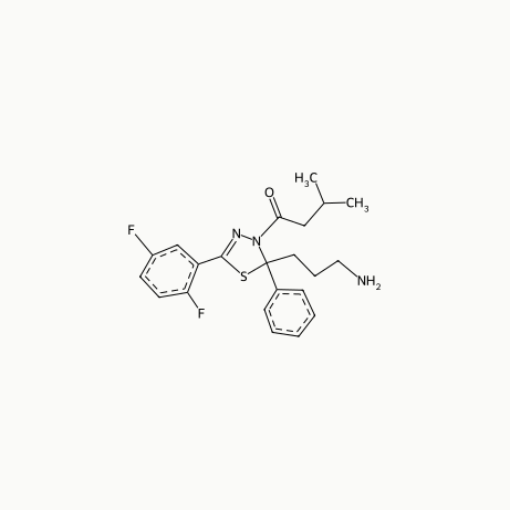 CC(C)CC(=O)N1N=C(c2cc(F)ccc2F)SC1(CCCN)c1ccccc1